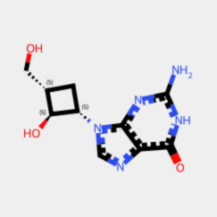 Nc1nc2c(ncn2[C@H]2C[C@@H](CO)[C@@H]2O)c(=O)[nH]1